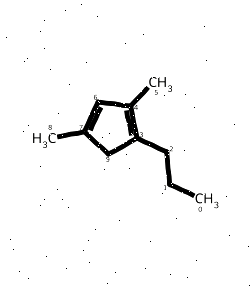 CCCC1=C(C)C=C(C)C1